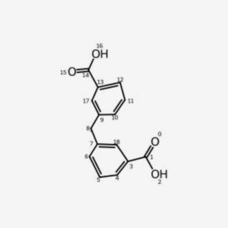 O=C(O)c1cccc([CH]c2cccc(C(=O)O)c2)c1